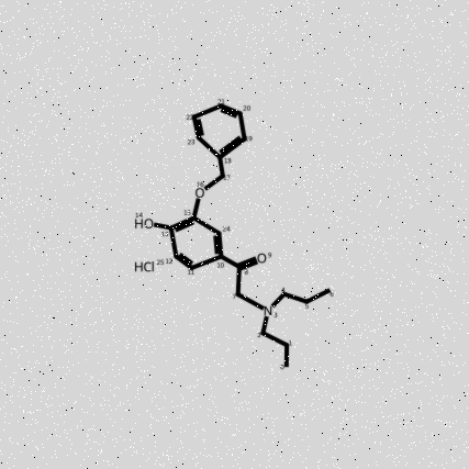 CCCN(CCC)CC(=O)c1ccc(O)c(OCc2ccccc2)c1.Cl